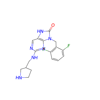 O=c1[nH]c2cnc(NCC3CCNC3)nc2n1Cc1c(F)cccc1F